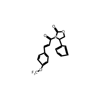 O=C(/C=C/c1ccc(OC(F)(F)F)cc1)N1C(=O)OCC1c1ccccc1